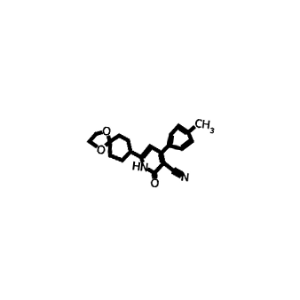 Cc1ccc(-c2cc(C3CCC4(CC3)OCCO4)[nH]c(=O)c2C#N)cc1